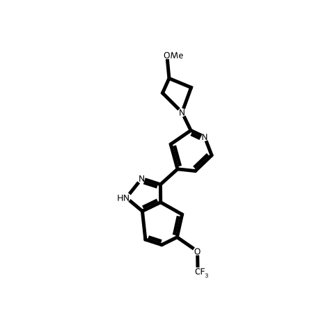 COC1CN(c2cc(-c3n[nH]c4ccc(OC(F)(F)F)cc34)ccn2)C1